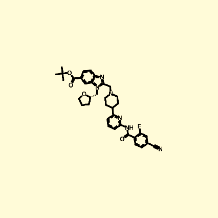 CC(C)(C)OC(=O)c1ccc2nc(CN3CCC(c4cccc(NC(=O)c5ccc(C#N)cc5F)n4)CC3)n(C[C@@H]3CCCO3)c2c1